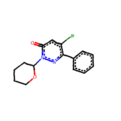 O=c1cc(Br)c(-c2ccccc2)nn1C1CCCCO1